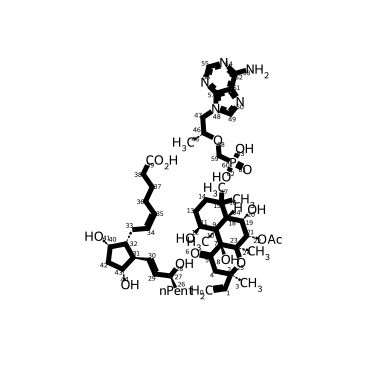 C=C[C@@]1(C)CC(=O)[C@]2(O)[C@@]3(C)[C@@H](O)CCC(C)(C)[C@@H]3[C@H](O)[C@H](OC(C)=O)[C@@]2(C)O1.CCCCC[C@H](O)/C=C/[C@@H]1[C@@H](C/C=C\CCCC(=O)O)[C@@H](O)C[C@H]1O.C[C@H](Cn1cnc2c(N)ncnc21)OCP(=O)(O)O